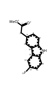 COC(=O)Cc1ccc2[nH]c3ccc(F)cc3c2c1